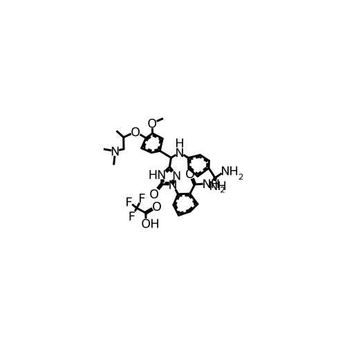 COc1cc(C(Nc2ccc(C(=N)N)cc2)c2nn(-c3ccccc3C(N)=O)c(=O)[nH]2)ccc1OC(C)CN(C)C.O=C(O)C(F)(F)F